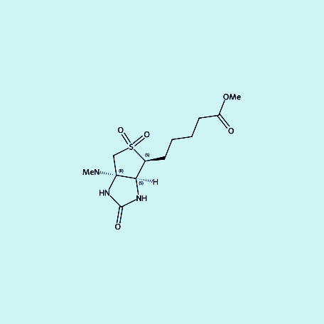 CN[C@]12CS(=O)(=O)[C@@H](CCCCC(=O)OC)[C@H]1NC(=O)N2